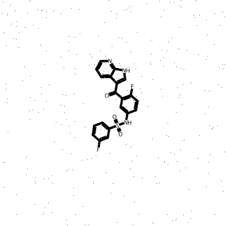 O=C(c1cc(NS(=O)(=O)c2cccc(F)c2)ccc1F)c1c[nH]c2ncccc12